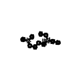 C1=CCC(c2nc(-c3ccccc3)nc(-c3cccc(-c4cccc(C5=CC(c6cccc(C7N=C(C8=CC=C(c9ccccc9)CC8)N=C(c8cccc(-c9ccccc9)c8)N7)c6)=CCC5)c4)c3)n2)C=C1